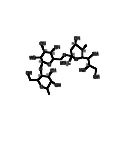 CC1OC(CO)[C@@H](O[C@@H]2OC(CO[C@]3(C(=O)O)C[C@@H](O)[C@@H](C)C(C(O)[C@H](O)CO)O3)[C@H](O)[C@H](O)C2O)[C@@H](O)C1O